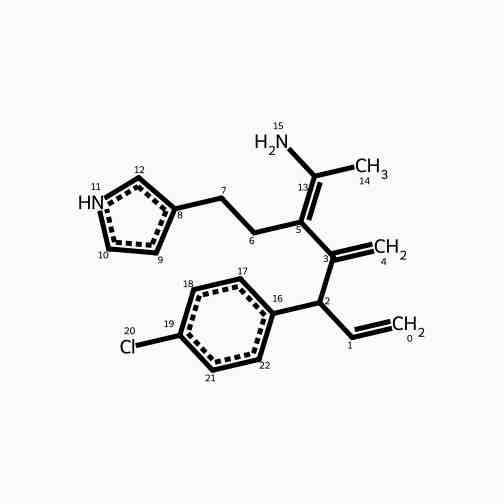 C=CC(C(=C)/C(CCc1cc[nH]c1)=C(\C)N)c1ccc(Cl)cc1